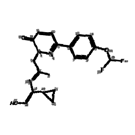 C/C(Cn1nc(-c2ccc(OC(F)F)cc2)ccc1=O)=N\C(=C/O)C1CC1